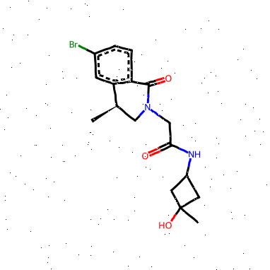 C[C@@H]1CN(CC(=O)NC2CC(C)(O)C2)C(=O)c2ccc(Br)cc21